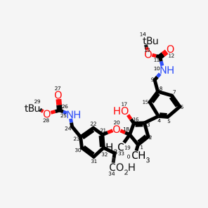 CC1=CC(c2cccc(CNC(=O)OC(C)(C)C)c2)=C(O)C1(C)Oc1cc(CNC(=O)OC(C)(C)C)ccc1CC(=O)O